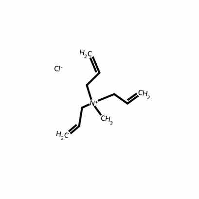 C=CC[N+](C)(CC=C)CC=C.[Cl-]